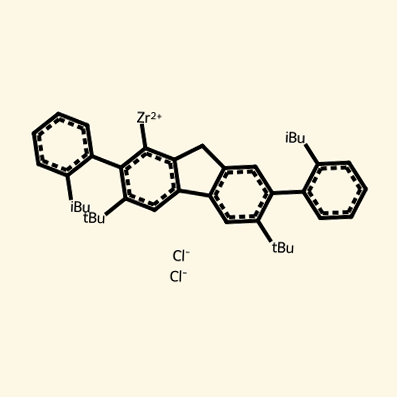 CCC(C)c1ccccc1-c1cc2c(cc1C(C)(C)C)-c1cc(C(C)(C)C)c(-c3ccccc3C(C)CC)[c]([Zr+2])c1C2.[Cl-].[Cl-]